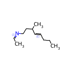 C/C=N\CCC(C)/C=C/CCC